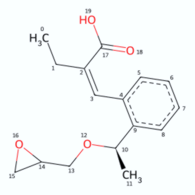 CCC(=Cc1ccccc1[C@@H](C)OCC1CO1)C(=O)O